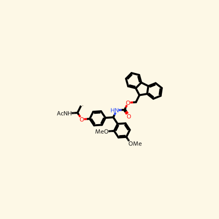 [CH2]C(NC(C)=O)Oc1ccc(C(NC(=O)OCC2c3ccccc3-c3ccccc32)c2ccc(OC)cc2OC)cc1